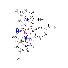 Cc1ccc(-n2nccn2)c(C(=O)N2C[C@@H]3CC[C@H]2CN(c2ncc4cc(F)ccc4n2)C3)c1